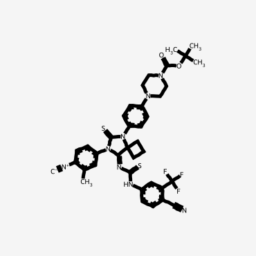 [C-]#[N+]c1ccc(N2C(=S)N(c3ccc(N4CCN(C(=O)OC(C)(C)C)CC4)cc3)C3(CCC3)/C2=N\C(=S)Nc2ccc(C#N)c(C(F)(F)F)c2)cc1C